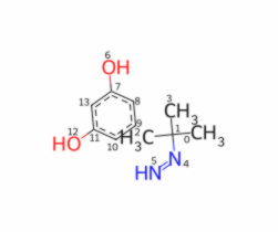 CC(C)(C)N=N.Oc1cccc(O)c1